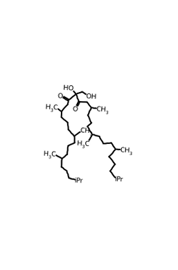 CC(C)CCCC(C)CCCC(C)CCCC(C)CC(=O)C(O)(CO)C(=O)CC(C)CCCC(C)CCCC(C)CCCC(C)C